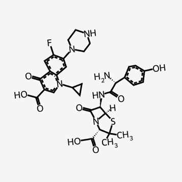 CC1(C)S[C@@H]2[C@H](NC(=O)[C@H](N)c3ccc(O)cc3)C(=O)N2[C@H]1C(=O)O.O=C(O)c1cn(C2CC2)c2cc(N3CCNCC3)c(F)cc2c1=O